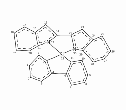 c1ccc2c(c1)-c1ccccc1[Si]21n2c(cc3ccccc32)-c2cc3ccccc3n21